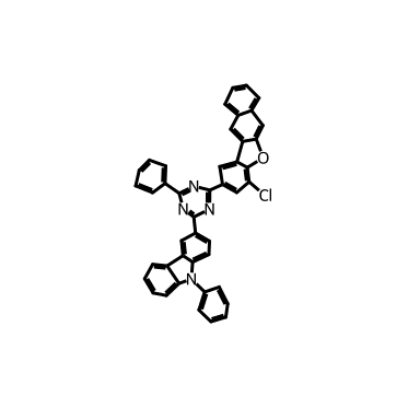 Clc1cc(-c2nc(-c3ccccc3)nc(-c3ccc4c(c3)c3ccccc3n4-c3ccccc3)n2)cc2c1oc1cc3ccccc3cc12